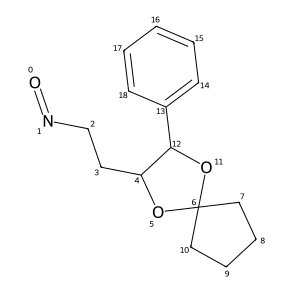 O=NCCC1OC2(CCCC2)OC1c1ccccc1